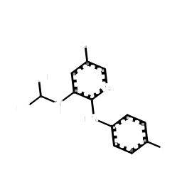 CC(C)Nc1cc(Cl)cnc1Nc1ccc(O)cc1